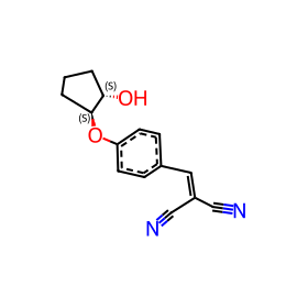 N#CC(C#N)=Cc1ccc(O[C@H]2CCC[C@@H]2O)cc1